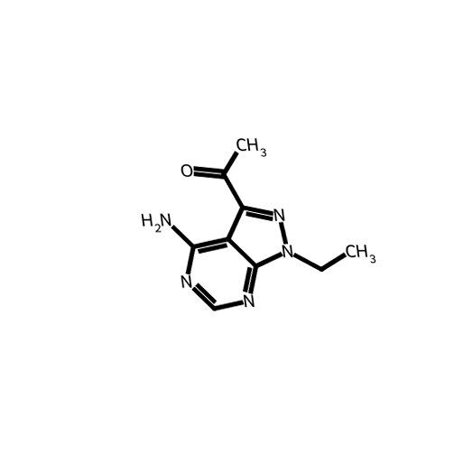 CCn1nc(C(C)=O)c2c(N)ncnc21